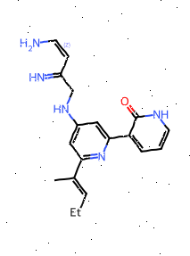 CCC=C(C)c1cc(NCC(=N)/C=C\N)cc(-c2ccc[nH]c2=O)n1